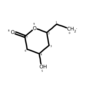 [CH2]CC1CC(O)CC(=O)O1